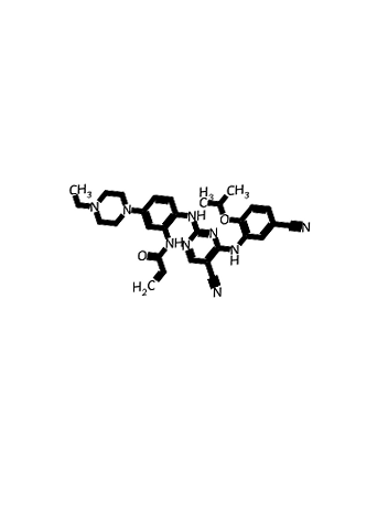 C=CC(=O)Nc1cc(N2CCN(CC)CC2)ccc1Nc1ncc(C#N)c(Nc2cc(C#N)ccc2OC(C)C)n1